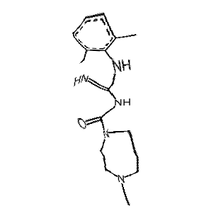 Cc1cccc(C)c1NC(=N)NC(=O)N1CCCN(C)CC1